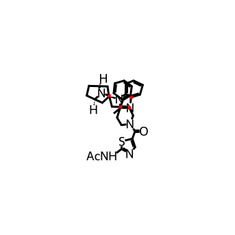 CC(=O)Nc1ncc(C(=O)N2CCC(CCN3[C@@H]4CC[C@H]3C[C@@H](n3c(C)nc5ccccc53)C4)(c3ccccc3)CC2)s1